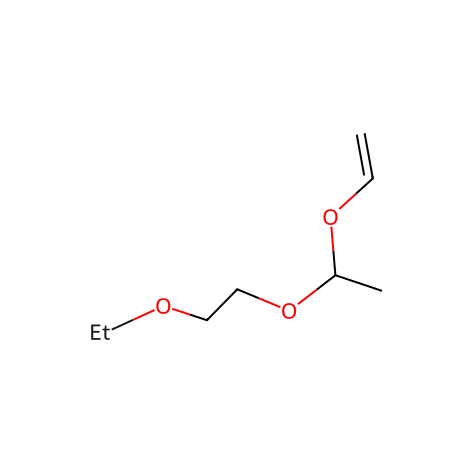 C=COC(C)OCCOCC